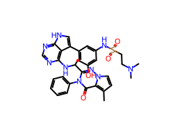 Cc1ccn2nc(C(C)Nc3ncnc4[nH]cc(-c5cc(O)cc(NS(=O)(=O)CCN(C)C)c5)c34)n(-c3ccccc3)c(=O)c12